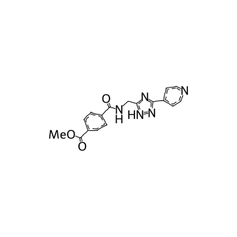 COC(=O)c1ccc(C(=O)NCc2nc(-c3ccncc3)n[nH]2)cc1